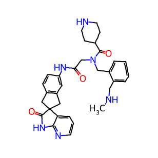 CNCc1ccccc1CN(CC(=O)Nc1ccc2c(c1)CC1(C2)C(=O)Nc2ncccc21)C(=O)C1CCNCC1